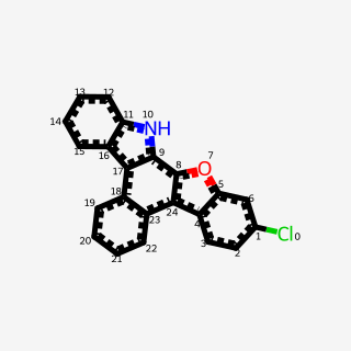 Clc1ccc2c(c1)oc1c3[nH]c4ccccc4c3c3ccccc3c21